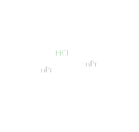 CCCCCCC.Cl